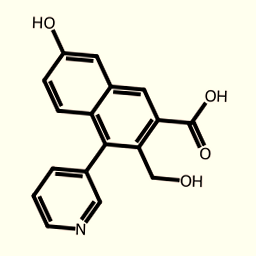 O=C(O)c1cc2cc(O)ccc2c(-c2cccnc2)c1CO